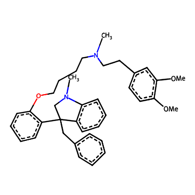 COc1ccc(CCN(C)CCCCOc2ccccc2C2(Cc3ccccc3)CN(C)c3ccccc32)cc1OC